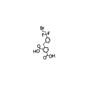 O=C(O)c1ccc(Cc2cccc(C(F)(F)CCBr)c2)c(C(=O)O)c1